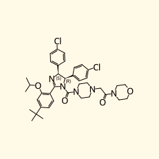 CC(C)Oc1cc(C(C)(C)C)ccc1C1=N[C@@H](c2ccc(Cl)cc2)[C@@H](c2ccc(Cl)cc2)N1C(=O)N1CCN(CC(=O)N2CCOCC2)CC1